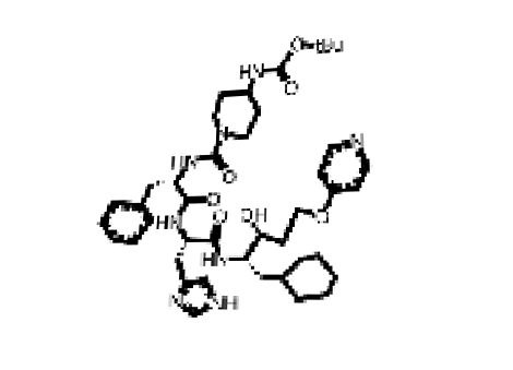 CC(C)(C)OC(=O)NC1CCN(C(=O)N[C@@H](Cc2ccccc2)C(=O)N[C@@H](Cc2c[nH]cn2)C(=O)N[C@@H](CC2CCCCC2)[C@@H](O)CCOc2ccncc2)CC1